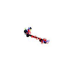 Cc1ccc(F)cc1C(C(=O)Nc1nccs1)N1Cc2cccc(CCCOCCOCCOCCOc3ccc4c(c3)C(=O)N(C3CCC(=O)NC3=O)C4=O)c2C1=O